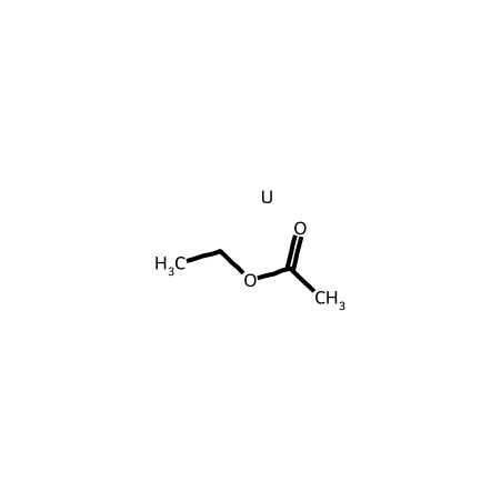 CCOC(C)=O.[U]